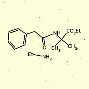 CCN.CCOC(=O)C(C)(C)NC(=O)Cc1ccccc1